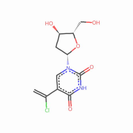 C=C(Cl)c1cn([C@@H]2C[C@@H](O)[C@H](CO)O2)c(=O)[nH]c1=O